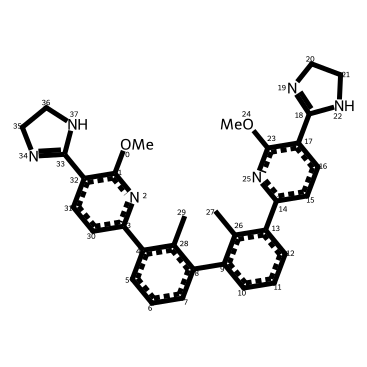 COc1nc(-c2cccc(-c3cccc(-c4ccc(C5=NCCN5)c(OC)n4)c3C)c2C)ccc1C1=NCCN1